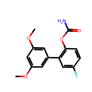 COc1cc(OC)cc(-c2cc(F)ccc2OC(N)=O)c1